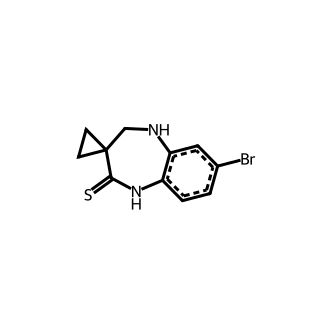 S=C1Nc2ccc(Br)cc2NCC12CC2